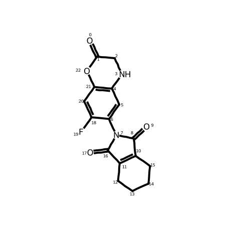 O=C1CNc2cc(N3C(=O)C4=C(CCCC4)C3=O)c(F)cc2O1